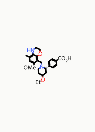 CCO[C@H]1CCN(Cc2c(OC)cc(C)c3c2OCCN3)[C@H](c2ccc(C(=O)O)cc2)C1